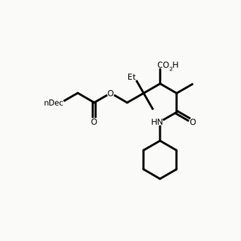 CCCCCCCCCCCC(=O)OCC(C)(CC)C(C(=O)O)C(C)C(=O)NC1CCCCC1